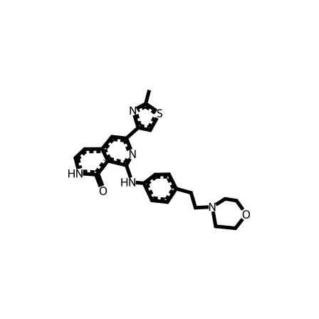 Cc1nc(-c2cc3cc[nH]c(=O)c3c(Nc3ccc(CCN4CCOCC4)cc3)n2)cs1